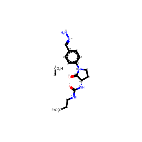 CC(=O)O.CCOC(=O)CCNC(=O)N[C@H]1CCN(c2ccc(C=NN)cc2)C1=O